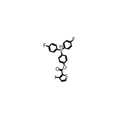 O=C(Oc1ccc([SH](c2ccc(F)cc2)c2ccc(F)cc2)cc1)c1sccc1I